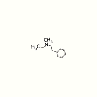 CCN(C)CCc1ccccc1